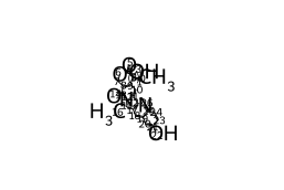 CC[C@@]1(O)C(=O)OCc2c1cc1n(c2=O)C(C)c2cc3cc(O)ccc3nc2-1